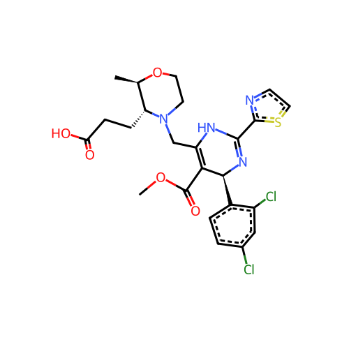 COC(=O)C1=C(CN2CCO[C@H](C)[C@H]2CCC(=O)O)NC(c2nccs2)=N[C@H]1c1ccc(Cl)cc1Cl